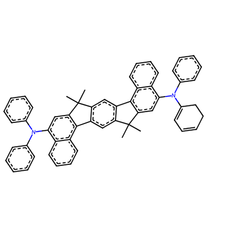 CC1(C)c2cc3c(cc2-c2c1cc(N(C1=CC=CCC1)c1ccccc1)c1ccccc21)C(C)(C)c1cc(N(c2ccccc2)c2ccccc2)c2ccccc2c1-3